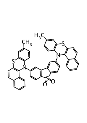 Cc1ccc2c(c1)Sc1ccc3ccccc3c1N2c1ccc2c(c1)-c1cc(N3c4ccc(C)cc4Sc4ccc5ccccc5c43)ccc1S2(=O)=O